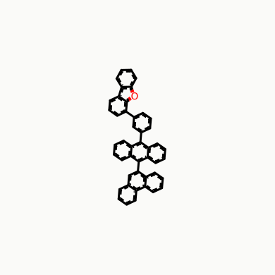 c1cc(-c2c3ccccc3c(-c3cc4ccccc4c4ccccc34)c3ccccc23)cc(-c2cccc3c2oc2ccccc23)c1